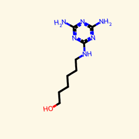 Nc1nc(N)nc(NCCCCCCO)n1